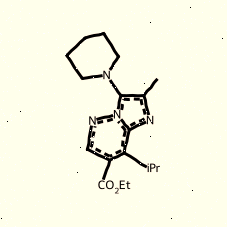 CCOC(=O)c1cnn2c(N3CCCCC3)c(C)nc2c1C(C)C